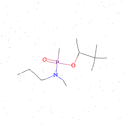 CCCN(C)P(C)(=O)OC(C)C(C)(C)C